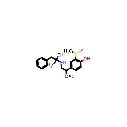 CC(=O)OC(CNC(C)(C)Cc1ccccc1)c1ccc(O)c([S+](C)[O-])c1